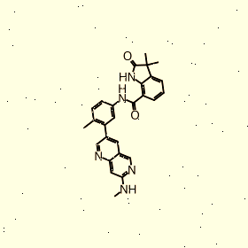 CNc1cc2ncc(-c3cc(NC(=O)c4cccc5c4NC(=O)C5(C)C)ccc3C)cc2cn1